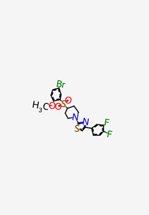 COc1ccc(Br)cc1S(=O)(=O)C1CCN(c2nc(-c3ccc(F)c(F)c3)cs2)CC1